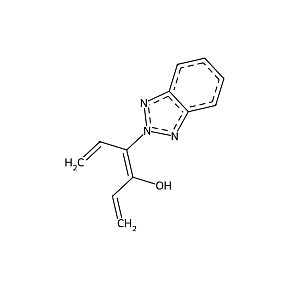 C=C/C(O)=C(\C=C)n1nc2ccccc2n1